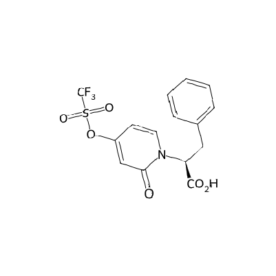 O=C(O)[C@H](Cc1ccccc1)n1ccc(OS(=O)(=O)C(F)(F)F)cc1=O